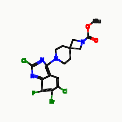 CC(C)(C)OC(=O)N1CC2(CCN(c3nc(Cl)nc4c(F)c(Br)c(Cl)cc34)CC2)C1